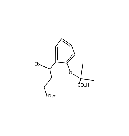 CCCCCCCCCCCCC(CC)c1ccccc1OC(C)(C)C(=O)O